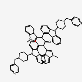 Cn1cc(C(C(=O)C(c2cn(C)c3ccccc23)c2cccc3c2c2ccccc2n3C2CCN(Cc3ccncc3)CC2)c2cccc3c2c2ccccc2n3C2CCN(Cc3ccncc3)CC2)c2ccccc21